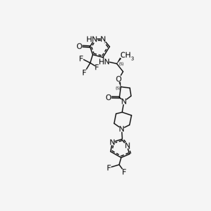 C[C@@H](CO[C@H]1CCN(C2CCN(c3ncc(C(F)F)cn3)CC2)C1=O)Nc1cn[nH]c(=O)c1C(F)(F)F